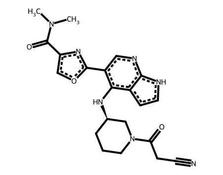 CN(C)C(=O)c1coc(-c2cnc3[nH]ccc3c2N[C@@H]2CCCN(C(=O)CC#N)C2)n1